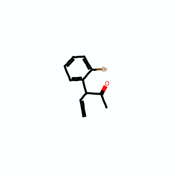 C=CC(C(C)=O)c1ccccc1Br